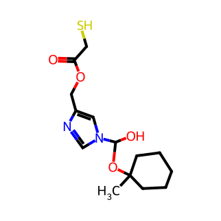 CC1(OC(O)n2cnc(COC(=O)CS)c2)CCCCC1